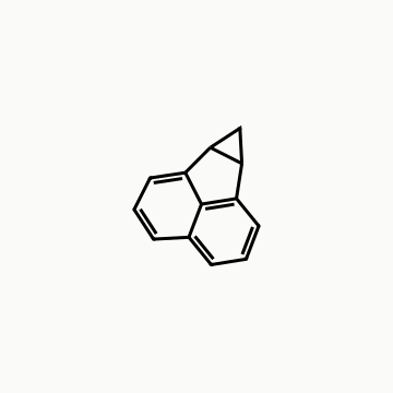 c1cc2c3c(cccc3c1)C1CC21